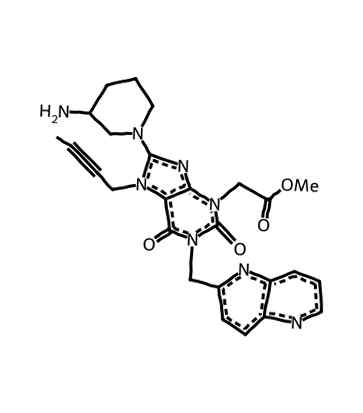 CC#CCn1c(N2CCCC(N)C2)nc2c1c(=O)n(Cc1ccc3ncccc3n1)c(=O)n2CC(=O)OC